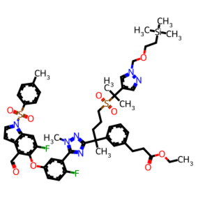 CCOC(=O)CCc1cccc(C(C)(CCCS(=O)(=O)C(C)(C)c2cnn(COCC[Si](C)(C)C)c2)c2nc(-c3cc(Oc4c(F)cc5c(ccn5S(=O)(=O)c5ccc(C)cc5)c4C=O)ccc3F)n(C)n2)c1